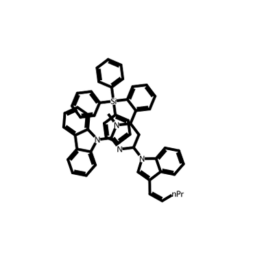 CCC/C=C\c1cn(C2CC(c3ccccc3[Si](c3ccccc3)(c3ccccc3)c3ccccc3)N(C)C(n3c4ccccc4c4ccccc43)=N2)c2ccccc12